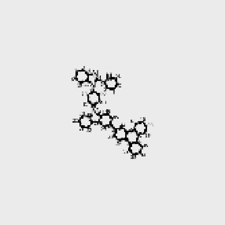 c1ccc(-c2nc3ccccc3n2-c2ccc(-n3c4ccccc4c4cc(-c5ccc6c7ccccc7c7ccccc7c6c5)ccc43)cc2)nc1